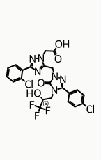 O=C(O)Cn1nc(-c2ccccc2Cl)nc1Cn1nc(-c2ccc(Cl)cc2)n(C[C@H](O)C(F)(F)F)c1=O